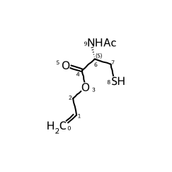 C=CCOC(=O)[C@@H](CS)NC(C)=O